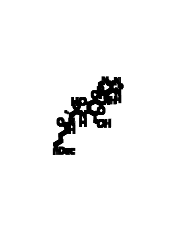 CCCCCCCCCCCCCCC(=O)N[C@H](C)C(=O)N[C@@H]1[C@@H](O)[C@H](O)[C@@H](Nc2ncnc3nc[nH]c23)O[C@H]1CO